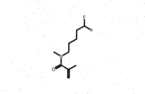 C=C(C)C(=O)N(C)CCCCC(F)F